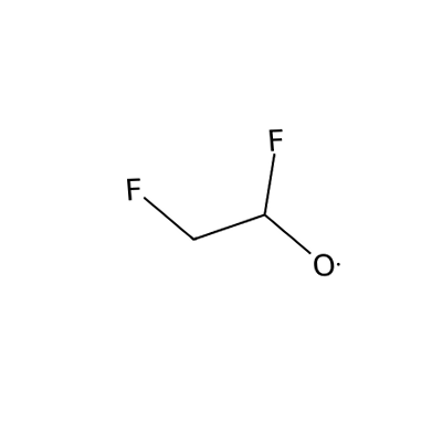 [O]C(F)CF